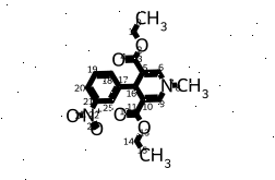 CCOC(=O)C1=CN(C)C=C(C(=O)OCC)C1c1cccc([N+](=O)[O-])c1